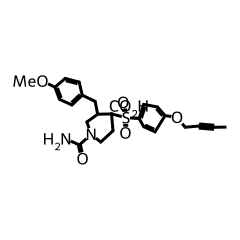 CC#CCOc1ccc(S(=O)(=O)C2(C(=O)O)CCN(C(N)=O)CC2Cc2ccc(OC)cc2)cc1